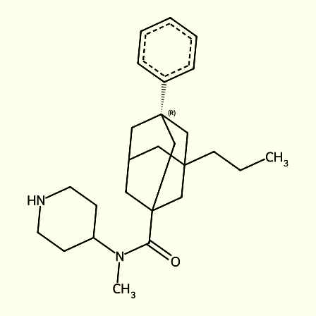 CCCC12CC3CC(C(=O)N(C)C4CCNCC4)(C1)C[C@@](c1ccccc1)(C3)C2